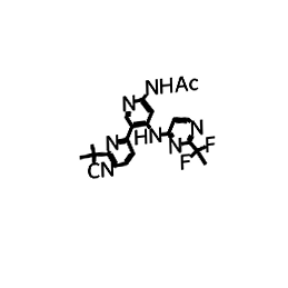 CC(=O)Nc1cc(Nc2ccnc(C(C)(F)F)n2)c(-c2cccc(C(C)(C)C#N)n2)cn1